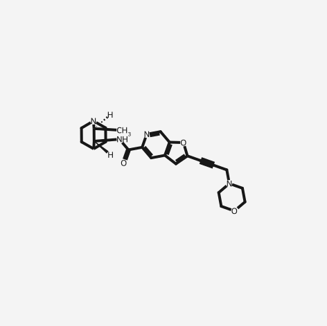 C[C@H]1[C@H](NC(=O)c2cc3cc(C#CCN4CCOCC4)oc3cn2)C2CCN1CC2